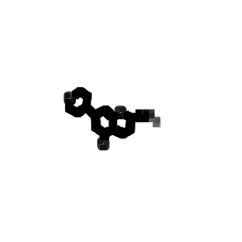 Nc1ccc2c(=O)cc(C3CCOCC3)cc-2o1